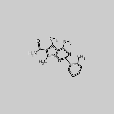 Cc1ccccc1-c1nc(N)c2c(C)c(C(N)=O)c(C)n2n1